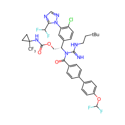 CC(C)(C)CCNC(=N)N(C(=O)c1ccc(-c2ccc(OC(F)F)cc2)cc1)[C@H](COC(=O)NC1(C(F)(F)F)CC1)c1ccc(Cl)c(-n2ncnc2C(F)F)c1